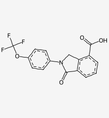 O=C(O)c1cccc2c1CN(c1ccc(OC(F)(F)F)cc1)C2=O